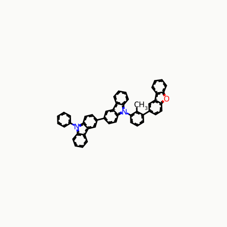 Cc1c(-c2ccc3oc4ccccc4c3c2)cccc1-n1c2ccccc2c2cc(-c3ccc4c(c3)c3ccccc3n4-c3ccccc3)ccc21